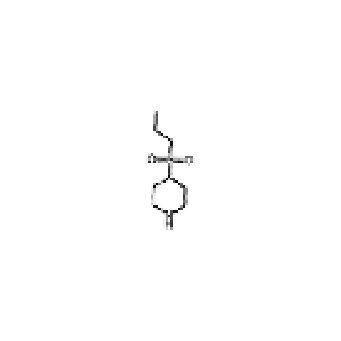 CCCS(=O)(=O)C1CCNCC1